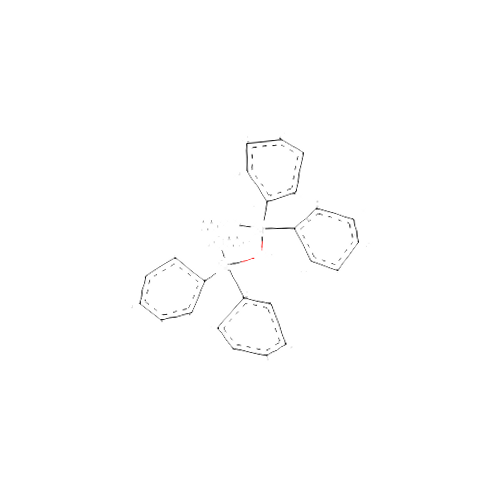 CO[Si](O[Si](OC)(c1ccccc1)c1ccccc1)(c1ccccc1)c1ccccc1